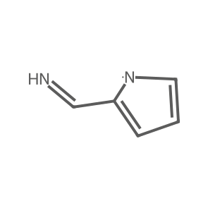 N=CC1=CC=C[N]1